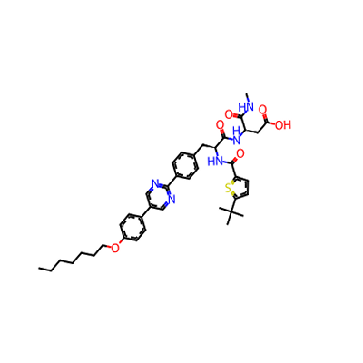 CCCCCCCOc1ccc(-c2cnc(-c3ccc(C[C@H](NC(=O)c4ccc(C(C)(C)C)s4)C(=O)N[C@H](CC(=O)O)C(=O)NC)cc3)nc2)cc1